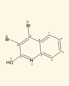 Oc1nc2ccccc2c(Br)c1Br